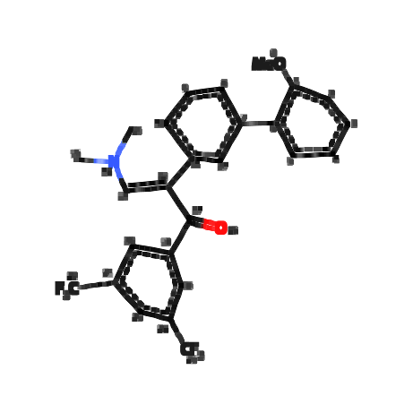 COc1ccccc1-c1cccc(C(=CN(C)C)C(=O)c2cc(C(F)(F)F)cc(C(F)(F)F)c2)c1